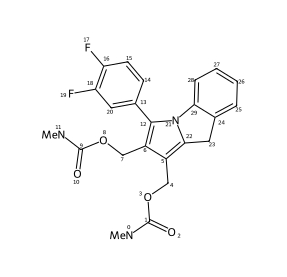 CNC(=O)OCc1c(COC(=O)NC)c(-c2ccc(F)c(F)c2)n2c1Cc1ccccc1-2